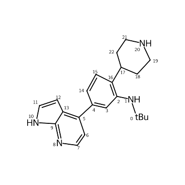 CC(C)(C)Nc1cc(-c2ccnc3[nH]ccc23)ccc1C1CCNCC1